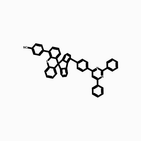 N#Cc1ccc(-c2cccc3c2Sc2ccccc2C32c3ccccc3-c3c(-c4ccc(-c5cc(-c6ccccc6)nc(-c6ccccc6)n5)cc4)cccc32)cc1